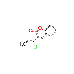 C=CC(Cl)c1cc2ccccc2oc1=O